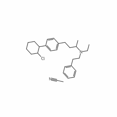 CC#N.CCN(CCc1ccccc1)C(C)CCc1ccc(C2CCCCC2Cl)cc1